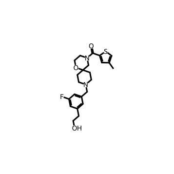 Cc1csc(C(=O)N2CCOC3(CCN(Cc4cc(F)cc(CCO)c4)CC3)C2)c1